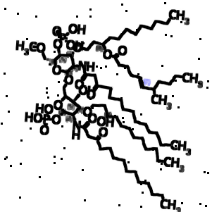 CCCCCCCCCCCC(=O)CC(=O)N[C@H]1[C@H](OCC2O[C@H](OP(=O)(O)O)[C@H](NC(=O)CC(=O)CCCCCCCCCCC)[C@@H](OCC[C@H](O)CCCCCCCCC)[C@@H]2O)O[C@H](COC)[C@@H](OP(=O)(O)O)[C@@H]1OCC[C@@H](CCCCCCCCC)OC(=O)CCC/C=C/C(C)CCCC